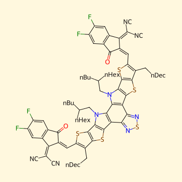 [C-]#[N+]C([N+]#[C-])=C1/C(=C/c2sc3c(sc4c5c6nsnc6c6c7sc8c(CCCCCCCCCCC)c(/C=C9\C(=O)c%10cc(F)c(F)cc%10C9=C(C#N)C#N)sc8c7n(CC(CCCC)CCCCCC)c6c5n(CC(CCCC)CCCCCC)c34)c2CCCCCCCCCCC)C(=O)c2cc(F)c(F)cc21